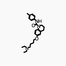 CCN(CC)CCCCOc1ccc2c(c1)CCCN2C(=O)Nc1ccc(C)cc1